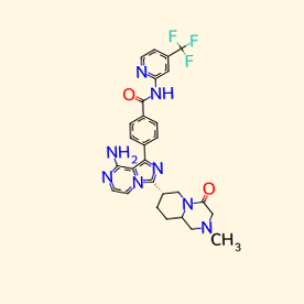 CN1CC(=O)N2C[C@@H](c3nc(-c4ccc(C(=O)Nc5cc(C(F)(F)F)ccn5)cc4)c4c(N)nccn34)CCC2C1